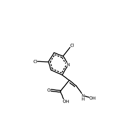 O=C(O)/C(=C\NO)c1cc(Cl)cc(Cl)n1